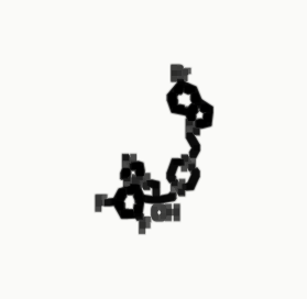 O[C@@](CN1CCN(CCn2ccc3cc(Br)ccc32)CC1)(Cn1cncn1)c1ccc(F)cc1F